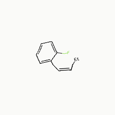 CC/C=C\c1ccccc1F